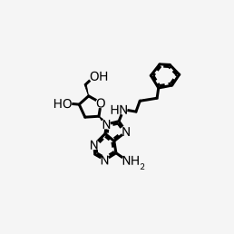 Nc1ncnc2c1nc(NCCCc1ccccc1)n2[C@H]1CC(O)[C@@H](CO)O1